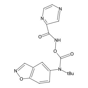 CC(C)(C)N(C(=O)ONC(=O)c1cnccn1)c1ccc2oncc2c1